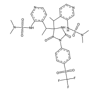 CC(c1ccncc1NS(=O)(=O)N(C)C)C1(C(C)c2ccncc2NS(=O)(=O)N(C)C)NC(=O)N(c2ccc(S(=O)(=O)C(F)(F)F)cc2)C1=O